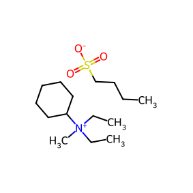 CCCCS(=O)(=O)[O-].CC[N+](C)(CC)C1CCCCC1